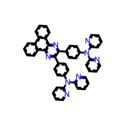 c1ccc(N(c2ccc(-c3nc4c5ccccc5c5ccccc5c4nc3-c3ccc(N(c4ccccn4)c4ccccn4)cc3)cc2)c2ccccn2)nc1